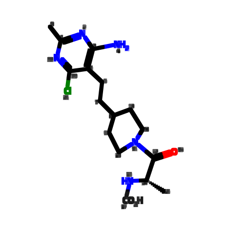 Cc1nc(N)c(CCC2CCN(C(=O)[C@H](C)NC(=O)O)CC2)c(Cl)n1